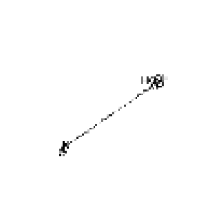 O=C=NCCCCCCCCCCCCCCCCCCCCCCCCCCCCOP(=O)(O)O